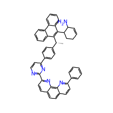 C[C@H](c1ccc(-c2ccnc(-c3ccc4ccc5ccc(-c6ccccc6)nc5c4n3)n2)cc1)c1c(C2CCC=CC2N)c2ccccc2c2ccccc12